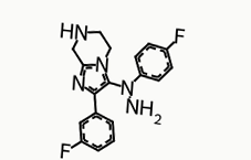 NN(c1ccc(F)cc1)c1c(-c2cccc(F)c2)nc2n1CCNC2